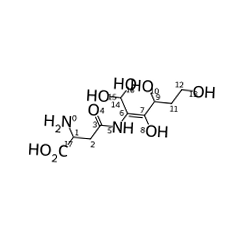 NC(CC(=O)N/C(=C(\O)C(O)CCO)C(O)O)C(=O)O